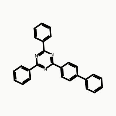 c1ccc(-c2ccc(-c3nc(-c4ccccc4)nc(-c4ccccc4)n3)cc2)cc1